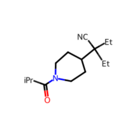 CCC(C#N)(CC)C1CCN(C(=O)C(C)C)CC1